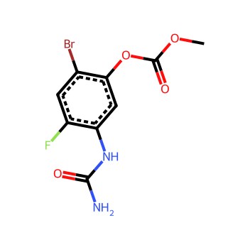 COC(=O)Oc1cc(NC(N)=O)c(F)cc1Br